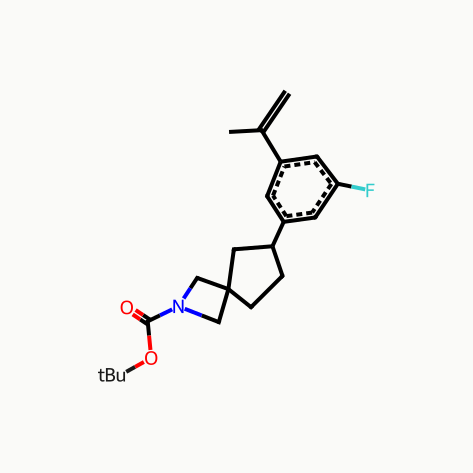 C=C(C)c1cc(F)cc(C2CCC3(C2)CN(C(=O)OC(C)(C)C)C3)c1